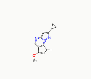 CCOC1=CC(C)c2c1cnc1cc(C3CC3)nn21